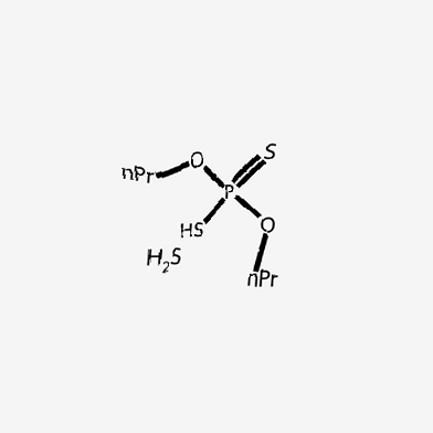 CCCOP(=S)(S)OCCC.S